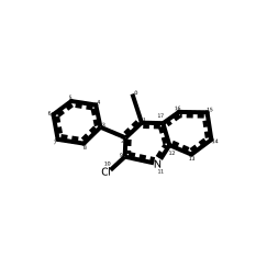 Cc1c(-c2ccccc2)c(Cl)nc2ccccc12